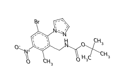 Cc1c([N+](=O)[O-])cc(Br)c(-n2cccn2)c1CNC(=O)OC(C)(C)C